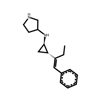 CC/C(=C\c1ccccc1)[C@@H]1C[C@H]1NC1CCNC1